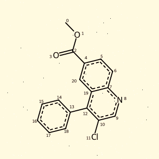 COC(=O)c1ccc2ncc(Cl)c(-c3ccccc3)c2c1